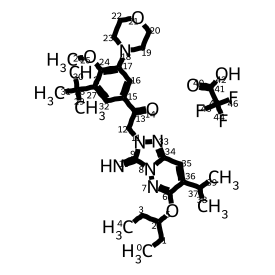 CCC(CC)Oc1nn2c(=N)n(CC(=O)c3cc(N4CCOCC4)c(OC)c(C(C)(C)C)c3)nc2cc1C(C)C.O=C(O)C(F)(F)F